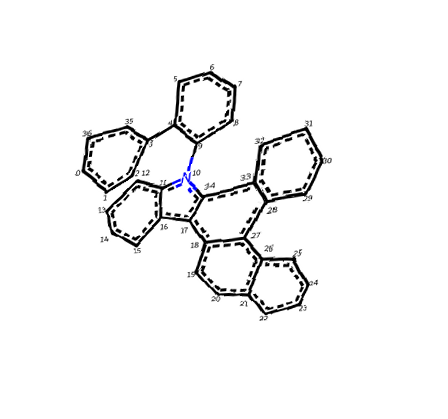 c1ccc(-c2ccccc2-n2c3ccccc3c3c4ccc5ccccc5c4c4ccccc4c32)cc1